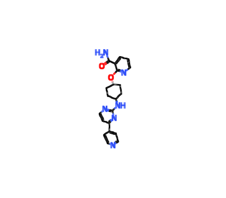 NC(=O)c1cccnc1O[C@H]1CC[C@H](Nc2nccc(-c3ccncc3)n2)CC1